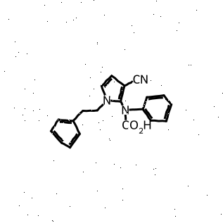 N#Cc1ccn(CCc2ccccc2)c1N(C(=O)O)c1ccccc1